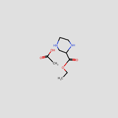 CC(=O)O.CCOC(=O)C1CNCCN1